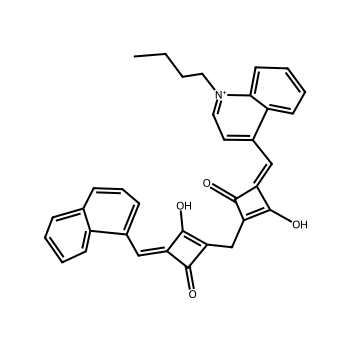 CCCC[n+]1ccc(C=C2C(=O)C(CC3=C(O)C(=Cc4cccc5ccccc45)C3=O)=C2O)c2ccccc21